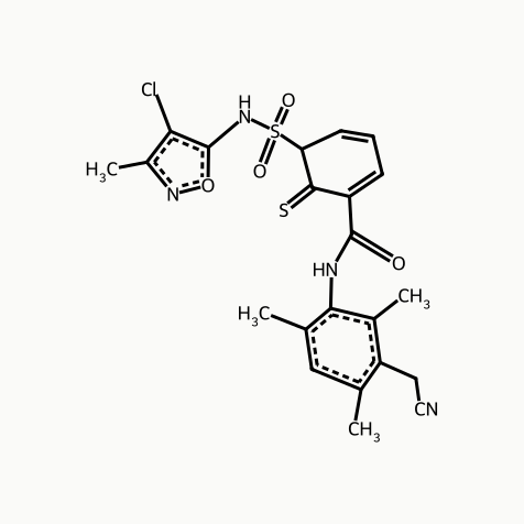 Cc1cc(C)c(NC(=O)C2=CC=CC(S(=O)(=O)Nc3onc(C)c3Cl)C2=S)c(C)c1CC#N